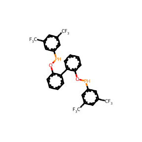 FC(F)(F)c1cc(POc2ccccc2-c2ccccc2OPc2cc(C(F)(F)F)cc(C(F)(F)F)c2)cc(C(F)(F)F)c1